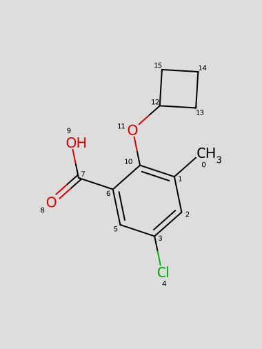 Cc1cc(Cl)cc(C(=O)O)c1OC1CCC1